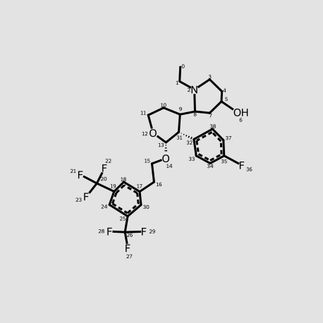 CCN1CCC(O)CC1C1CCO[C@@H](OCCc2cc(C(F)(F)F)cc(C(F)(F)F)c2)[C@H]1c1ccc(F)cc1